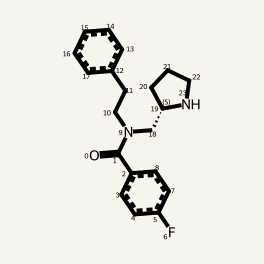 O=C(c1ccc(F)cc1)N(CCc1ccccc1)C[C@@H]1CCCN1